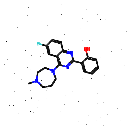 CN1CCCN(c2nc(-c3ccccc3O)nc3ccc(F)cc23)CC1